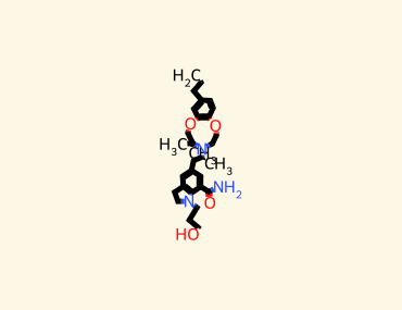 C=CCc1ccc2c(c1)OCC(C)(C)N([C@H](C)Cc1cc3c(c(C(N)=O)c1)N(CCCO)CC3)CCO2